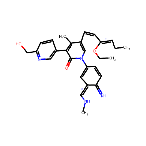 CC/C=C(/C=C\c1cn(C2=C/C(=C/NC)C(=N)C=C2)c(=O)c(-c2ccc(CO)nc2)c1C)OCC